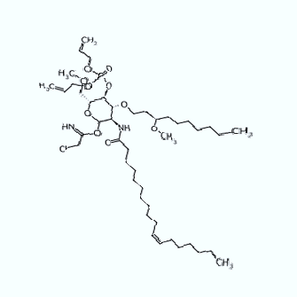 C=CCOP(=O)(OCC=C)O[C@H]1[C@H](OCC[C@@H](CCCCCCC)OC)[C@@H](NC(=O)CCCCCCCCC/C=C\CCCCCC)C(OC(=N)CCl)O[C@@H]1COC